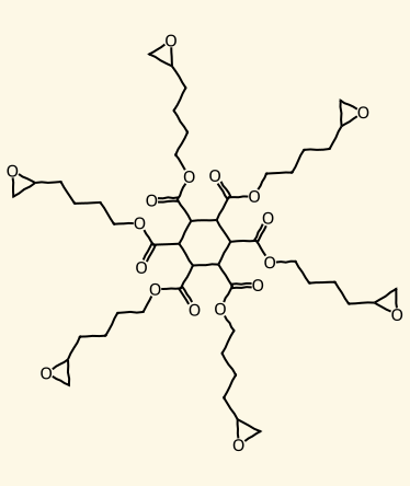 O=C(OCCCCC1CO1)C1C(C(=O)OCCCCC2CO2)C(C(=O)OCCCCC2CO2)C(C(=O)OCCCCC2CO2)C(C(=O)OCCCCC2CO2)C1C(=O)OCCCCC1CO1